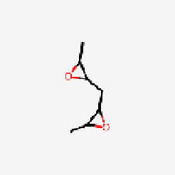 CC1OC1CC1OC1C